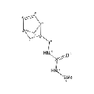 CSNC(=O)NCC1CC2C=CC1C2